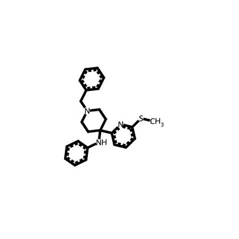 CSc1cccc(C2(Nc3ccccc3)CCN(Cc3ccccc3)CC2)n1